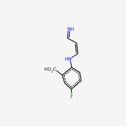 N=C/C=C\Nc1ccc(F)cc1C(=O)O